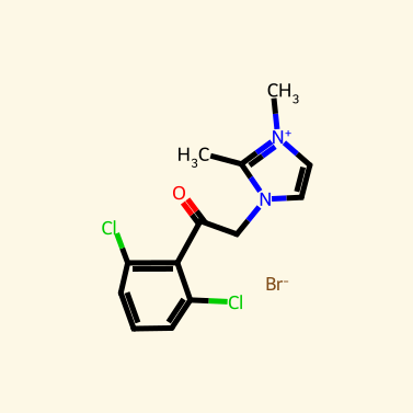 Cc1n(CC(=O)c2c(Cl)cccc2Cl)cc[n+]1C.[Br-]